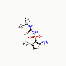 Cc1csc(N)c1S(=O)(=O)NC(=S)NC(C)C